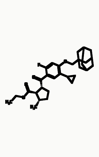 CCOC(=O)[C@@H]1[C@@H](C)CC[C@H]1C(=O)c1cc(C2CC2)c(OCC23CC4CC(CC(C4)C2)C3)cc1F